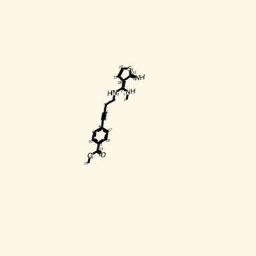 CN/C(NCCC#Cc1ccc(C(=O)OC)cc1)=C1/C=CSC1=N